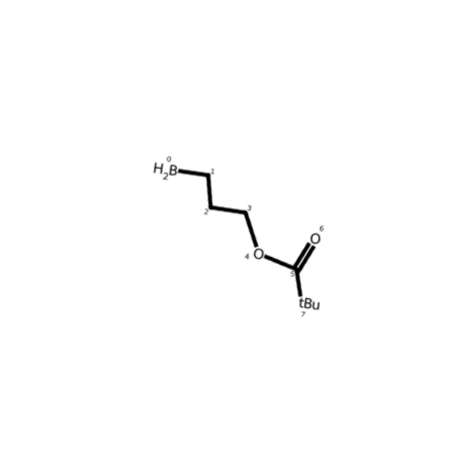 BCCCOC(=O)C(C)(C)C